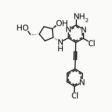 Nc1nc(Cl)c(C#Cc2ccc(Cl)nc2)c(N[C@@H]2C[C@H](CO)C[C@H]2O)n1